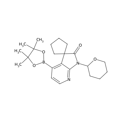 CC1(C)OB(c2ccnc3c2C2(CCCC2)C(=O)N3C2CCCCO2)OC1(C)C